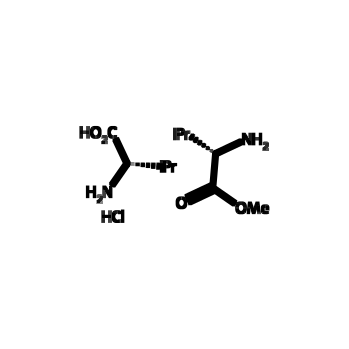 CC(C)[C@H](N)C(=O)O.COC(=O)[C@@H](N)C(C)C.Cl